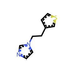 [c]1cn(CCc2ccsc2)cn1